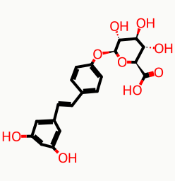 O=C(O)[C@H]1O[C@@H](Oc2ccc(/C=C/c3cc(O)cc(O)c3)cc2)[C@H](O)[C@@H](O)[C@@H]1O